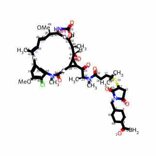 BC(=O)C1CCC(CN2C(=O)CC(SC(C)(C)CCC(=O)N(C)[C@@H](C)C(=O)C3C4CC(=O)N(C)c5cc(cc(OC)c5Cl)C/C(C)=C/C=C/[C@@H](OC)[C@@]5(O)C[C@H](OC(=O)N5)[C@@H](C)[C@@H]5O[C@]435)C2=O)CC1